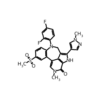 Cn1cc(-c2[nH]c3c(=O)n(C)cc4c3c2CN(c2ccc(F)cc2F)c2ccc(S(C)(=O)=O)cc2-4)cn1